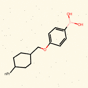 CCCC1CCC(COc2ccc(B(O)O)cc2)CC1